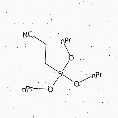 CCCO[Si](CCC#N)(OCCC)OCCC